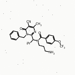 Cc1nc(C(C(C)C)N(CCCN)C(=O)c2ccc(OC(F)(F)F)cc2)n(Cc2ccccc2)c(=O)c1C#N